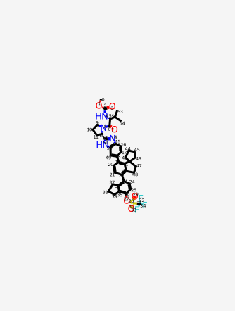 COC(=O)N[C@H](C(=O)N1CCC[C@H]1c1nc2ccc(-c3ccc(-c4ccc(OS(=O)(=O)C(F)(F)F)c5c4CCC5)c4c3C3(CCCC3)CC4)cc2[nH]1)C(C)C